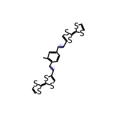 Cc1cc(/C=C/C2=CSC(=C3SC=CS3)S2)ccc1/C=C/C1=CSC(=C2SC=CS2)S1